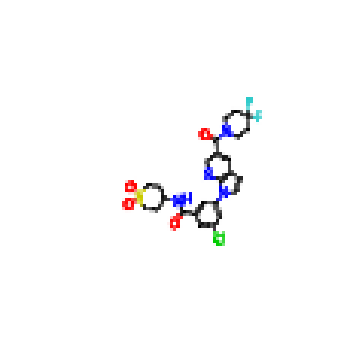 O=C(NC1CCS(=O)(=O)CC1)c1cc(Cl)cc(-n2ccc3cc(C(=O)N4CCC(F)(F)CC4)cnc32)c1